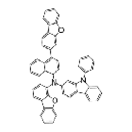 C1=CC2=C(c3ccc4c(c3)oc3ccccc34)C=CC(N(c3ccc4c5ccccc5n(-c5ccccc5)c4c3)c3cccc4c3oc3ccccc34)C2C=C1